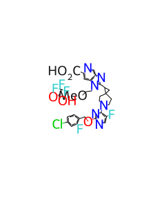 COCCn1c(C2CC23CCN(c2nc(OCc4ccc(Cl)cc4F)ncc2F)CC3)nc2cnc(C(=O)O)cc21.O=C(O)C(F)(F)F